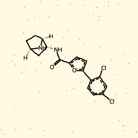 O=C(N[C@@H]1C[C@H]2CC[C@@H]1N2)c1ccc(-c2ccc(Cl)cc2Cl)o1